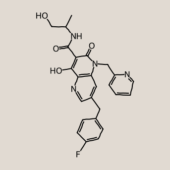 CC(CO)NC(=O)c1c(O)c2ncc(Cc3ccc(F)cc3)cc2n(Cc2ccccn2)c1=O